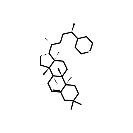 C[C@H](CC[C@@H](C)[C@H]1CC[C@@]2(C)[C@]3(C)CC=C4CC(C)(C)CC[C@]4(C)[C@@]3(C)CC[C@]12C)C1CCOCC1